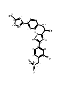 CCC(Oc1ccc(-c2noc(C(C)C)n2)nc1)c1nc(-c2ccc(C[SH](=O)=O)c(F)c2)no1